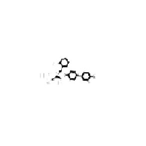 Cc1cc(-c2ccc(-n3cc(C(C)(C)O)nc3-c3ccccc3C(F)(F)F)cc2)ccc1F